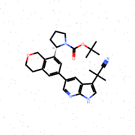 CC(C)(C)OC(=O)N1CCC[C@H]1c1cc(-c2cnc3[nH]cc(C(C)(C)C#N)c3c2)cc2c1COCC2